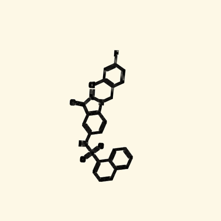 O=c1[nH]n(Cc2ccc(F)cc2Cl)c2ccc(NS(=O)(=O)c3cccc4ccccc34)cc12